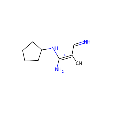 N#C/C(C=N)=C(\N)NC1CCCC1